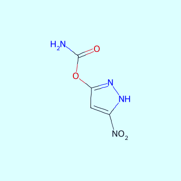 NC(=O)Oc1cc([N+](=O)[O-])[nH]n1